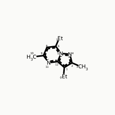 CCc1c(C)nn2c(CC)cc(C)nc12